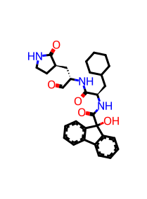 O=C[C@H](C[C@H]1CCNC1=O)NC(=O)[C@@H](CC1CCCCC1)NC(=O)C1(O)c2ccccc2-c2ccccc21